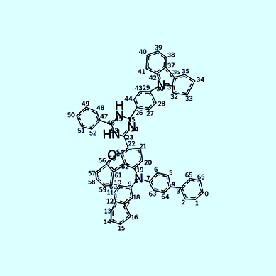 c1ccc(-c2ccc(N(c3ccc4ccccc4c3)c3ccc(C4=NC(c5ccc(-n6c7ccccc7c7ccccc76)cc5)NC(c5ccccc5)N4)c4oc5ccccc5c34)cc2)cc1